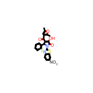 Cc1cc(C(=O)C2=C(O)C(=O)N(c3nc4ccc([N+](=O)[O-])cc4s3)C2c2ccccc2F)c(C)o1